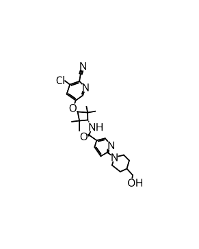 CC1(C)[C@H](NC(=O)c2ccc(N3CCC(CO)CC3)nc2)C(C)(C)[C@H]1Oc1cnc(C#N)c(Cl)c1